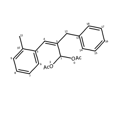 CC(=O)OC(OC(C)=O)C(=Cc1ccccc1C)Cc1ccccc1